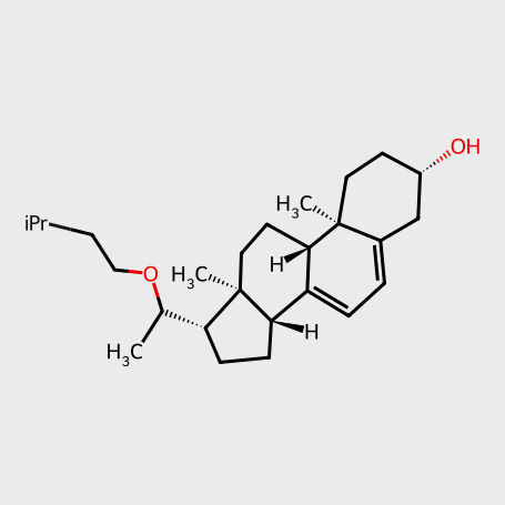 CC(C)CCOC(C)[C@H]1CC[C@H]2C3=CC=C4C[C@@H](O)CC[C@]4(C)[C@H]3CC[C@]12C